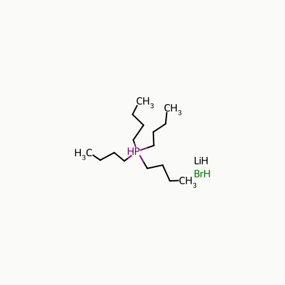 Br.CCCC[PH](CCCC)(CCCC)CCCC.[LiH]